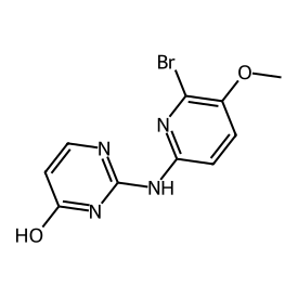 COc1ccc(Nc2nccc(O)n2)nc1Br